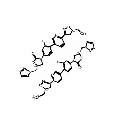 CC(=O)OC[C@@H]1CC(c2ccc(-c3ccc(N4C[C@H](Cn5ccnn5)OC4=O)cc3F)cn2)=NO1.O=C1O[C@@H](Cn2ccnn2)CN1c1ccc(-c2ccc(C3=NO[C@H](CO)C3)nc2)c(F)c1